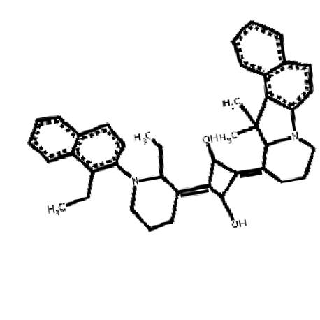 CCc1c(N2CCCC(=C3C(O)C(=C4CCCN5c6ccc7ccccc7c6C(C)(C)C45)C3O)C2CC)ccc2ccccc12